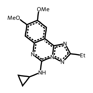 CCc1nc2c3cc(OC)c(OC)cc3nc(NC3CC3)n2n1